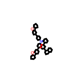 c1cc(-c2ccccc2N(c2ccc(-c3ccc4c(c3)oc3ccccc34)cc2)c2ccc(-c3ccc4oc5ccccc5c4c3)cc2)cc(-c2cccc3ccccc23)c1